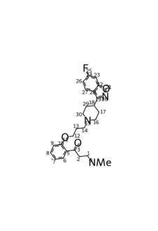 CNCCC(=O)c1c[c]ccc1OCCCN1CCC(c2noc3cc(F)ccc23)CC1